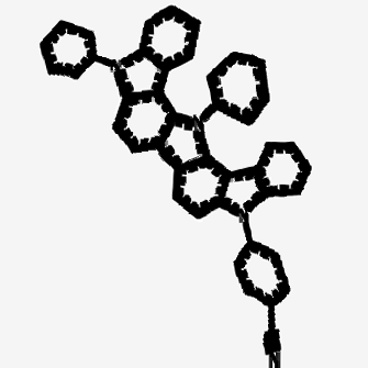 N#Cc1ccc(-n2c3ccccc3c3c2ccc2c4ccc5c(c6ccccc6n5-c5ccccc5)c4n(-c4ccccc4)c23)cc1